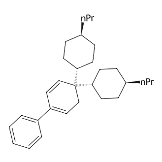 CCC[C@H]1CC[C@H](C2([C@H]3CC[C@H](CCC)CC3)C=CC(c3ccccc3)=CC2)CC1